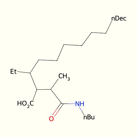 CCCCCCCCCCCCCCCCC(CC)C(C(=O)O)C(C)C(=O)NCCCC